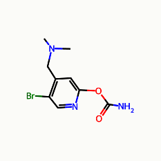 CN(C)Cc1cc(OC(N)=O)ncc1Br